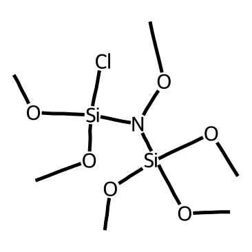 CON([Si](Cl)(OC)OC)[Si](OC)(OC)OC